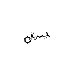 CC(C)OCCCOC(=O)N1CCCCC1